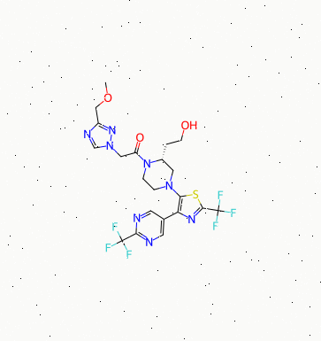 COCc1ncn(CC(=O)N2CCN(c3sc(C(F)(F)F)nc3-c3cnc(C(F)(F)F)nc3)C[C@H]2CCO)n1